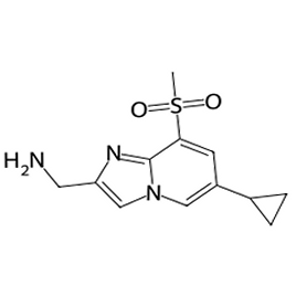 CS(=O)(=O)c1cc(C2CC2)cn2cc(CN)nc12